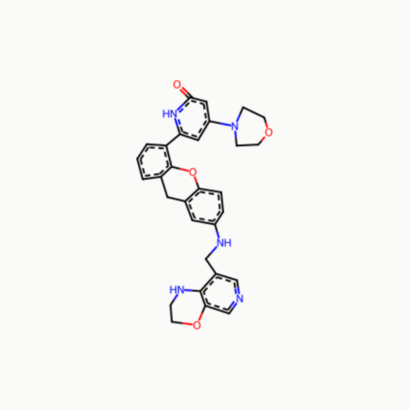 O=c1cc(N2CCOCC2)cc(-c2cccc3c2Oc2ccc(NCc4cncc5c4NCCO5)cc2C3)[nH]1